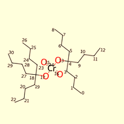 CCCCC(CCCC)(CCCC)[O][Cr](=[O])(=[O])[O]C(CCCC)(CCCC)CCCC